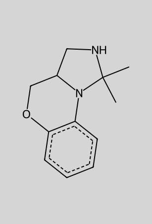 CC1(C)NCC2COc3ccccc3N21